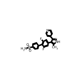 Cc1[nH]nc(-c2ccncc2)c1-c1cc(F)c(-c2ccc(S(N)(=O)=O)cc2)c(F)c1